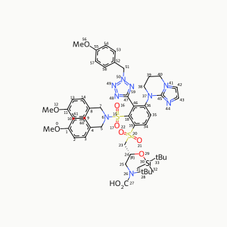 COc1ccc(CN(Cc2ccc(OC)cc2)S(=O)(=O)c2c(S(=O)(=O)C[C@@H](CN(C(=O)O)C(C)(C)C)O[Si](C)(C)C(C)(C)C)ccc(N3CCCn4ccnc43)c2-c2nnn(Cc3ccc(OC)cc3)n2)cc1